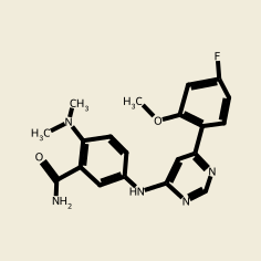 COc1cc(F)ccc1-c1cc(Nc2ccc(N(C)C)c(C(N)=O)c2)ncn1